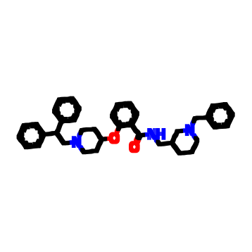 O=C(NCC1CCCN(Cc2ccccc2)C1)c1ccccc1OC1CCN(CC(c2ccccc2)c2ccccc2)CC1